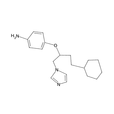 Nc1ccc(OC(CCC2CCCCC2)Cn2ccnc2)cc1